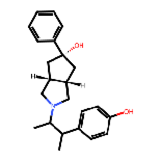 CC(c1ccc(O)cc1)C(C)N1C[C@@H]2C[C@@](O)(c3ccccc3)C[C@@H]2C1